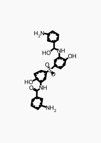 Nc1cccc(C(=O)Nc2cc(S(=O)(=O)c3ccc(O)c(NC(O)c4cccc(N)c4)c3)ccc2O)c1